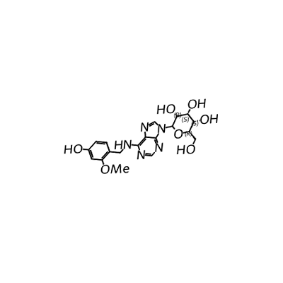 COc1cc(O)ccc1CNc1ncnc2c1ncn2C1O[C@H](CO)[C@@H](O)[C@H](O)[C@H]1O